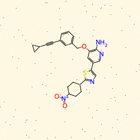 Nc1ncc(-c2cnc(C3CCC([N+](=O)[O-])CC3)s2)cc1OCc1cccc(C#CC2CC2)c1